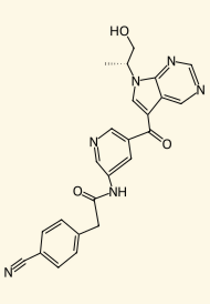 C[C@H](CO)n1cc(C(=O)c2cncc(NC(=O)Cc3ccc(C#N)cc3)c2)c2cncnc21